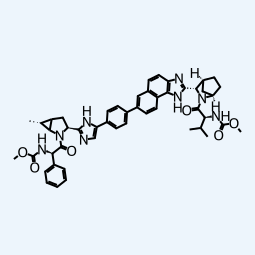 COC(=O)N[C@H](C(=O)N1[C@@H]2CC[C@@H](C2)[C@H]1c1nc2ccc3cc(-c4ccc(-c5cnc([C@@H]6CC7C([C@@H]7C)N6C(=O)[C@H](NC(=O)OC)c6ccccc6)[nH]5)cc4)ccc3c2[nH]1)C(C)C